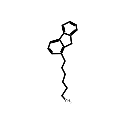 CCCCCCCc1cccc2c1[CH]c1ccccc1-2